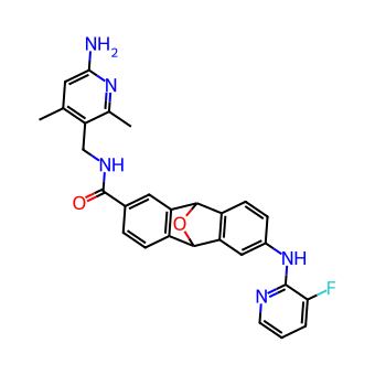 Cc1cc(N)nc(C)c1CNC(=O)c1ccc2c(c1)C1OC2c2cc(Nc3ncccc3F)ccc21